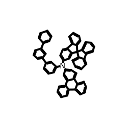 c1ccc(-c2cccc(-c3cccc(N(c4ccc5c(c4)C4(c6ccccc6-c6ccccc64)c4ccccc4-5)c4ccc5c6ccccc6c6ccccc6c5c4)c3)c2)cc1